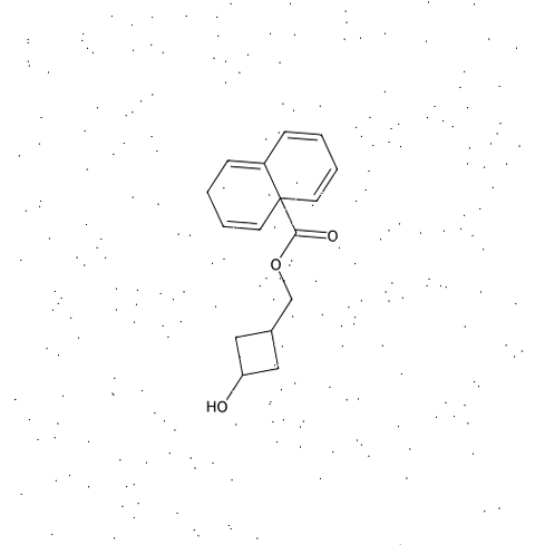 O=C(OCC1CC(O)C1)C12C=CC=CC1=CCC=C2